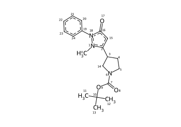 Cn1c(C2CCN(C(=O)OC(C)(C)C)C2)cc(=O)n1-c1ccccc1